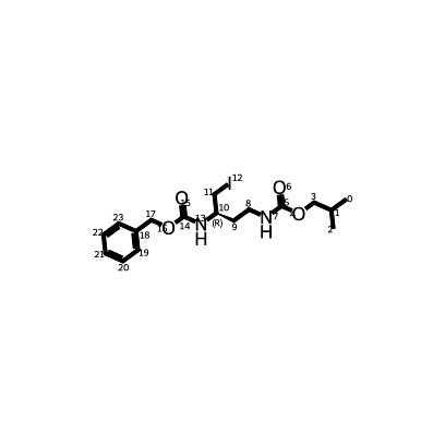 CC(C)COC(=O)NCC[C@H](CI)NC(=O)OCc1ccccc1